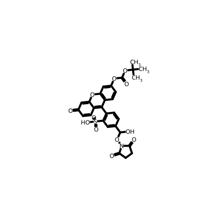 CC(C)(C)OC(=O)Oc1ccc2c(-c3ccc(C(O)ON4C(=O)CCC4=O)cc3S(=O)(=O)O)c3ccc(=O)cc-3oc2c1